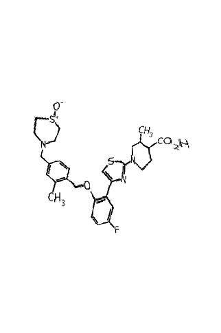 Cc1cc(CN2CC[S+]([O-])CC2)ccc1COc1ccc(F)cc1-c1csc(N2CCC(C(=O)O)C(C)C2)n1